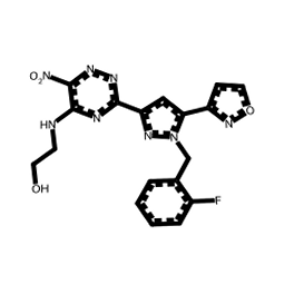 O=[N+]([O-])c1nnc(-c2cc(-c3ccon3)n(Cc3ccccc3F)n2)nc1NCCO